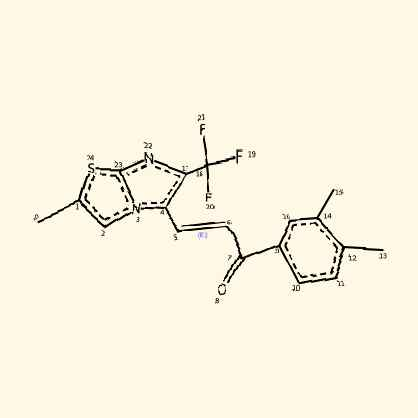 Cc1cn2c(/C=C/C(=O)c3ccc(C)c(C)c3)c(C(F)(F)F)nc2s1